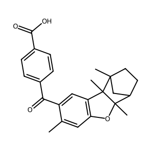 Cc1cc2c(cc1C(=O)c1ccc(C(=O)O)cc1)C1(C)C3(C)CCC(C3)C1(C)O2